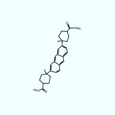 COC(=O)C1CCC(C)(c2ccc3cc4ccc(C5(C)CCC(C(=O)OC)CC5)cc4cc3c2)CC1